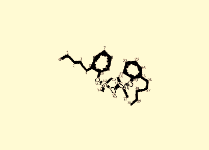 CCCCCc1ccccc1[O][Sn]([CH3])([CH3])[O][Sn]([CH3])([CH3])[O]c1ccccc1CCCCC